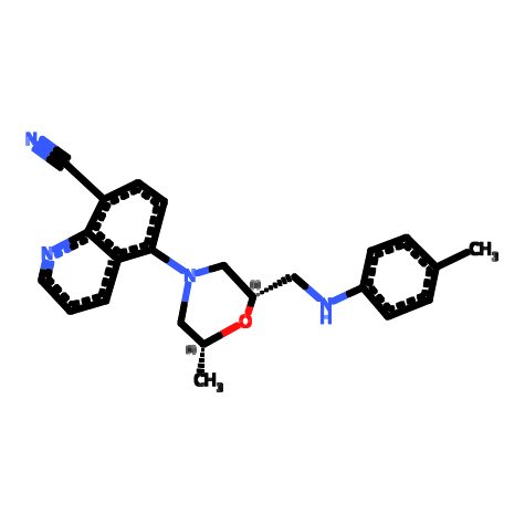 Cc1ccc(NC[C@H]2CN(c3ccc(C#N)c4ncccc34)C[C@@H](C)O2)cc1